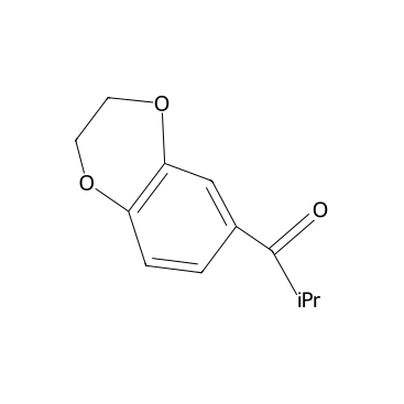 CC(C)C(=O)c1ccc2c(c1)OCCO2